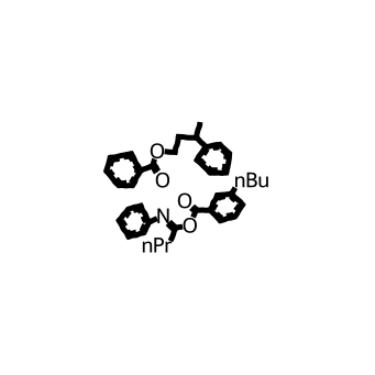 CC(CCOC(=O)c1ccccc1)c1ccccc1.CCCCc1cccc(C(=O)OC(CCC)=Nc2ccccc2)c1